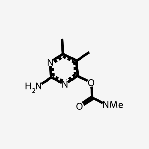 CNC(=O)Oc1nc(N)nc(C)c1C